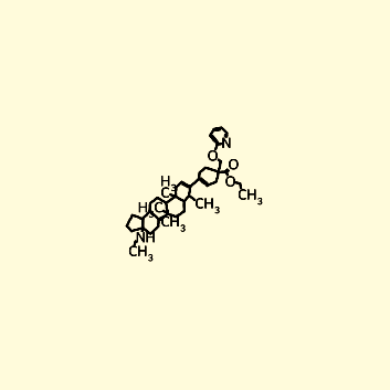 CCNC12CCCC1C1CCC3C4(C)CC=C(C5=CCC(COc6ccccn6)(C(=O)OCC)CC5)C(C)C4CCC3(C)[C@]1(C)CC2